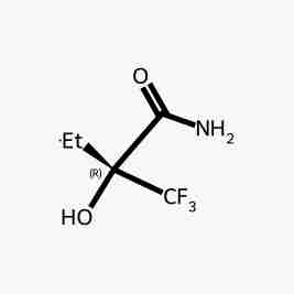 C[CH][C@@](O)(C(N)=O)C(F)(F)F